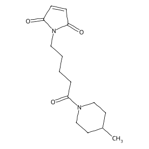 CC1CCN(C(=O)CCCCN2C(=O)C=CC2=O)CC1